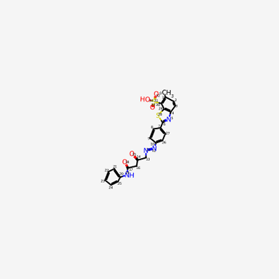 Cc1ccc2nc(-c3ccc(N=NCC(=O)CC(=O)Nc4ccccc4)cc3)sc2c1S(=O)(=O)O